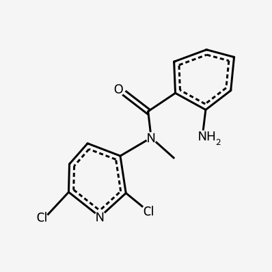 CN(C(=O)c1ccccc1N)c1ccc(Cl)nc1Cl